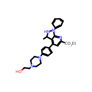 CCOC(=O)c1cc(-c2ccc(N3CCN(CCO)CC3)cc2)c2c(n1)N(c1ccccc1)NC2C